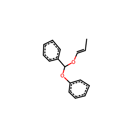 CC=COC(Oc1ccccc1)c1ccccc1